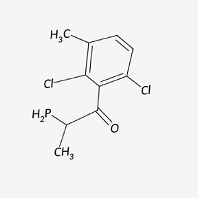 Cc1ccc(Cl)c(C(=O)C(C)P)c1Cl